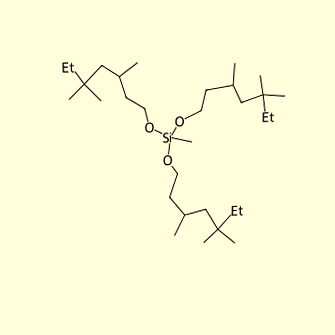 CCC(C)(C)CC(C)CCO[Si](C)(OCCC(C)CC(C)(C)CC)OCCC(C)CC(C)(C)CC